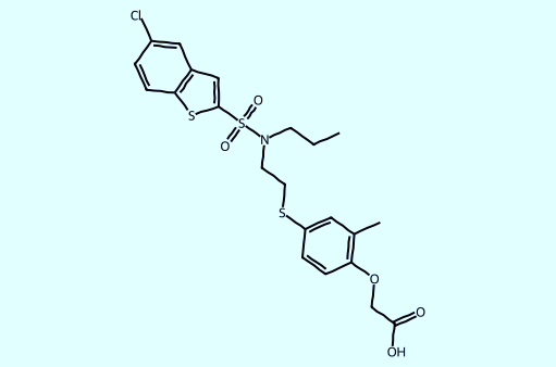 CCCN(CCSc1ccc(OCC(=O)O)c(C)c1)S(=O)(=O)c1cc2cc(Cl)ccc2s1